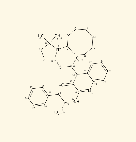 C[C@@H](C[C@@H]1CCC(C)(C)N1C1CCCCCCC1)n1c(=O)c(N[C@@H](Cc2ccccc2)C(=O)O)nc2ccccc21